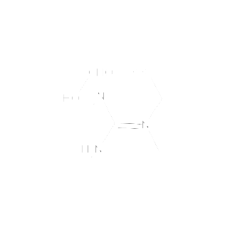 C[N+](CC(=O)[O-])=C(N)N.O=CO